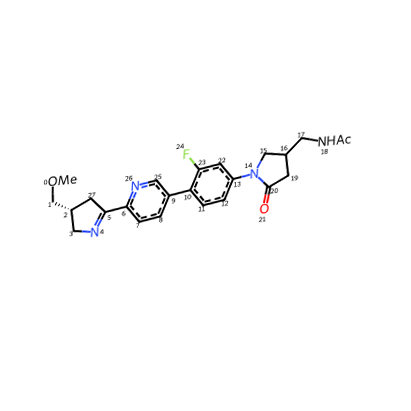 COC[C@H]1CN=C(c2ccc(-c3ccc(N4CC(CNC(C)=O)CC4=O)cc3F)cn2)C1